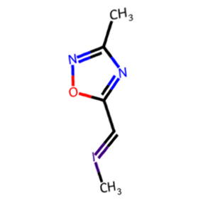 CI=Cc1nc(C)no1